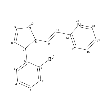 Brc1ccccc1C1C=CSC1C=Cc1ccccn1